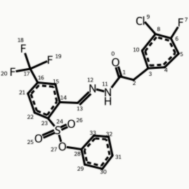 O=C(Cc1ccc(F)c(Cl)c1)N/N=C/c1cc(C(F)(F)F)ccc1S(=O)(=O)Oc1ccccc1